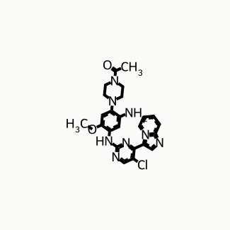 COc1cc(N2CCN(C(C)=O)CC2)c(N)cc1Nc1ncc(Cl)c(-c2cnc3ccccn23)n1